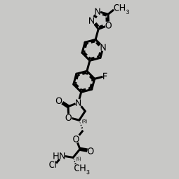 Cc1nnc(-c2ccc(-c3ccc(N4C[C@H](COC(=O)[C@H](C)NCl)OC4=O)cc3F)cn2)o1